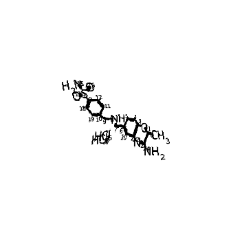 CC1Oc2ccc(CNCc3ccc(S(N)(=O)=O)cc3)cc2N=C1N.Cl.Cl